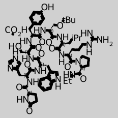 CC(=O)O.CCNC(=O)[C@@H]1CCCN1C(=O)[C@H](CCCNC(=N)N)NC(=O)[C@H](CC(C)C)NC(=O)[C@@H](COC(C)(C)C)NC(=O)[C@H](Cc1ccc(O)cc1)NC(=O)[C@H](CO)NC(=O)[C@H](Cc1c[nH]c2ccccc12)NC(=O)[C@H](Cc1c[nH]cn1)NC(=O)[C@@H]1CCC(=O)N1